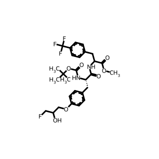 COC(=O)C(Cc1ccc(C(F)(F)F)cc1)NC(=O)[C@H](Cc1ccc(OCC(O)CF)cc1)NC(=O)OC(C)(C)C